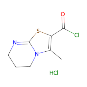 CC1=C(C(=O)Cl)SC2=NCCCN21.Cl